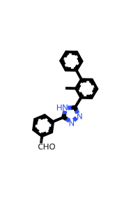 Cc1c(-c2ccccc2)cccc1-c1nnc(-c2cccc(C=O)c2)[nH]1